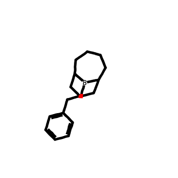 c1ccc(CCB2C3CCCCC2CCC3)cc1